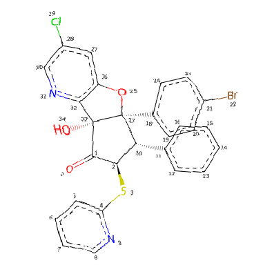 O=C1[C@H](Sc2ccccn2)[C@@H](c2ccccc2)[C@]2(c3ccc(Br)cc3)Oc3cc(Cl)cnc3[C@]12O